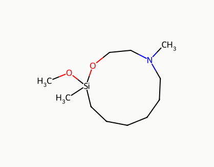 CO[Si]1(C)CCCCCCN(C)CCO1